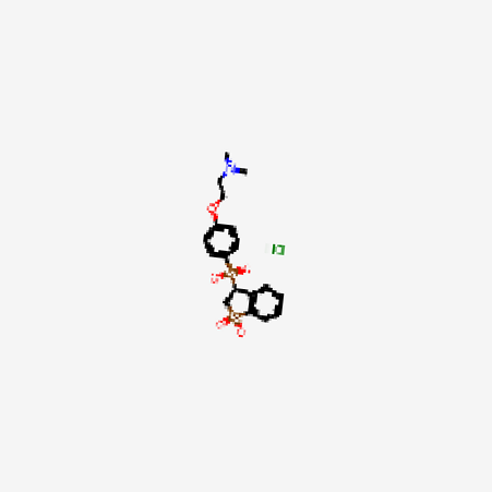 CN(C)CCOc1ccc(S(=O)(=O)C2CS(=O)(=O)c3ccccc32)cc1.Cl